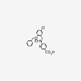 CCN(Cc1cc(Cl)ccc1OCc1ccccc1)c1ccc(C(=O)O)cn1